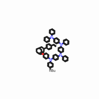 C=Cc1ccc(C2CC3CC4CCC2C(c2ccc(N(c5ccc(CCCC)cc5)c5ccc(N(c6ccccc6)c6ccc(N(c7ccccc7)c7ccc(N(c8ccccc8)c8ccccc8)cc7)cc6)cc5)cc2)(C4)C3)cc1